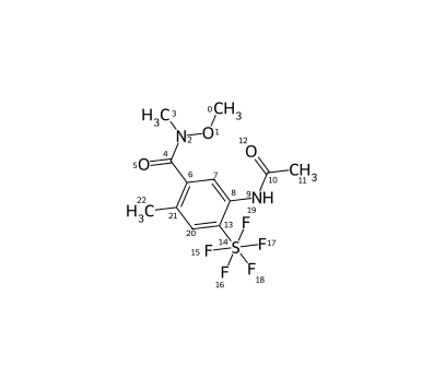 CON(C)C(=O)c1cc(NC(C)=O)c(S(F)(F)(F)(F)F)cc1C